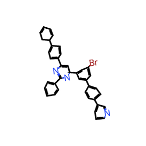 Brc1cc(-c2ccc(-c3cccnc3)cc2)cc(-c2cc(-c3ccc(C4C=CC=CC4)cc3)nc(-c3ccccc3)n2)c1